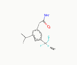 CC(C)c1cc(CC([NH-])=O)cc(C(F)(F)F)c1.[Na+]